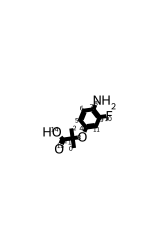 CC(C)(Oc1ccc(N)c(F)c1)C(=O)O